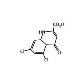 O=C(O)C1=CC(=O)C2C(Cl)=CC(Cl)=CC2N1